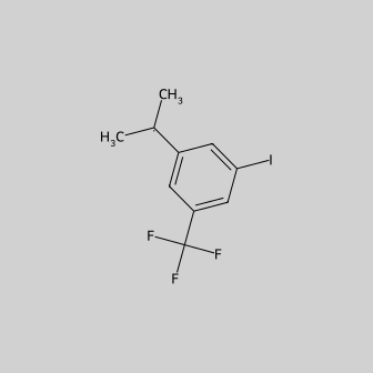 C[C](C)c1cc(I)cc(C(F)(F)F)c1